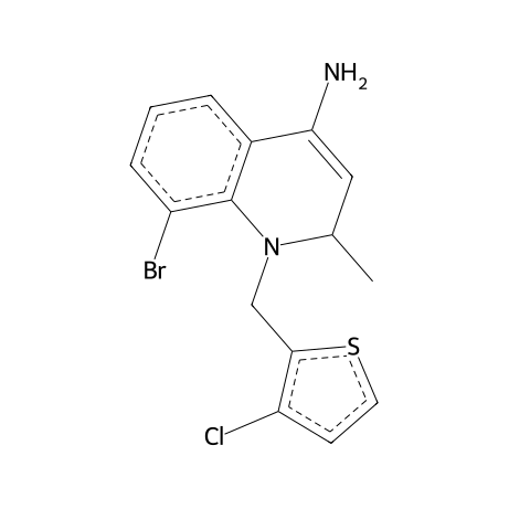 CC1C=C(N)c2cccc(Br)c2N1Cc1sccc1Cl